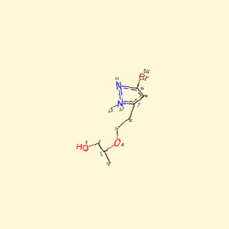 CC(CO)OCCc1cc(Br)nn1C